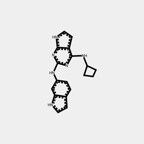 c1cc2ccc(Nc3nc(NC4CCC4)c4cc[nH]c4n3)cc2[nH]1